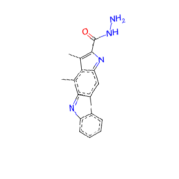 CC1=C(C(=O)NN)N=c2cc3c(c(C)c21)=Nc1ccccc1-3